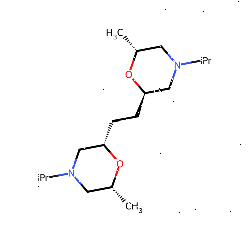 CC(C)N1C[C@@H](CC[C@H]2CN(C(C)C)C[C@@H](C)O2)O[C@H](C)C1